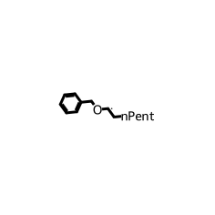 CCCCCC[CH]OCc1ccccc1